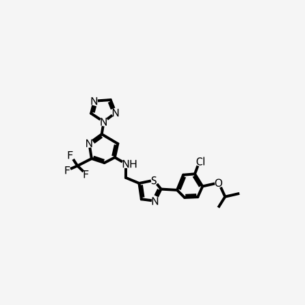 CC(C)Oc1ccc(-c2ncc(CNc3cc(-n4cncn4)nc(C(F)(F)F)c3)s2)cc1Cl